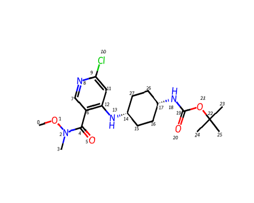 CON(C)C(=O)c1cnc(Cl)cc1N[C@H]1CC[C@@H](NC(=O)OC(C)(C)C)CC1